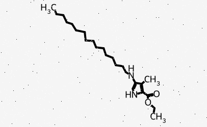 CCCCCCCCCCCCCCCCNc1c[nH]c(C(=O)OCC)c1C